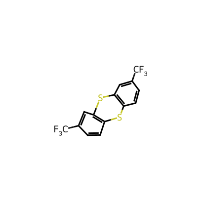 FC(F)(F)c1ccc2c(c1)Sc1cc(C(F)(F)F)ccc1S2